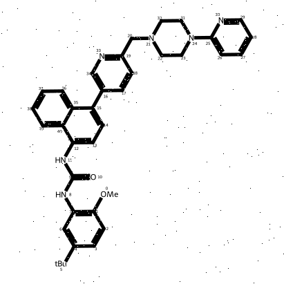 COc1ccc(C(C)(C)C)cc1NC(=O)Nc1ccc(-c2ccc(CN3CCN(c4ccccn4)CC3)nc2)c2ccccc12